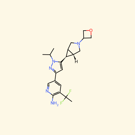 CC(C)n1nc(-c2cnc(N)c(C(C)(F)F)c2)cc1[C@H]1C2CN(C3COC3)C[C@@H]21